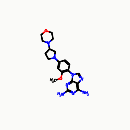 COc1cc(N2CCC(N3CCOCC3)C2)ccc1-n1cnc2c(N)nc(N)nc21